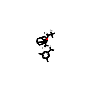 CCC(C)(C)C(=O)OC1C2CC3CC1CC(C2)C3C(=O)OC(C)c1cc(C)cc(C)c1